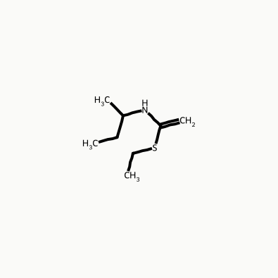 C=C(NC(C)CC)SCC